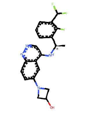 C[C@@H](Nc1cnnc2ccc(N3CC(O)C3)cc12)c1cccc(C(F)F)c1F